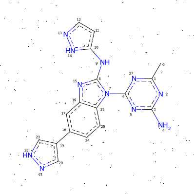 Cc1nc(N)nc(-n2c(Nc3ccn[nH]3)nc3cc(-c4cn[nH]c4)ccc32)n1